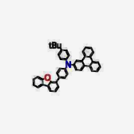 CC(C)(C)c1ccc(N(c2ccc(-c3cccc4c3oc3ccccc34)cc2)c2ccc3c4ccccc4c4ccccc4c3c2)cc1